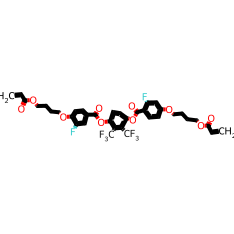 C=CC(=O)OCCCCOc1ccc(C(=O)Oc2ccc(OC(=O)c3ccc(OCCCCOC(=O)C=C)c(F)c3)c(C(F)(F)F)c2C(F)(F)F)c(F)c1